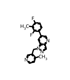 Cc1ccncc1Cn1ncc2ncc(-c3ccc(F)c(C)c3F)cc21